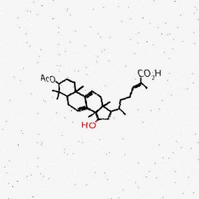 CC(=O)OC1CCC2(C)C3=CCC4(C)C(C(C)CC/C=C(\C)C(=O)O)CC(O)C4(C)C3=CCC2C1(C)C